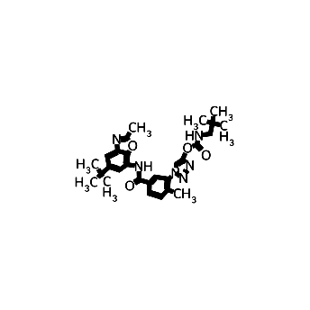 Cc1nc2cc(C(C)(C)C)cc(NC(=O)c3ccc(C)c(-n4cc(OC(=O)NCC(C)(C)C)nn4)c3)c2o1